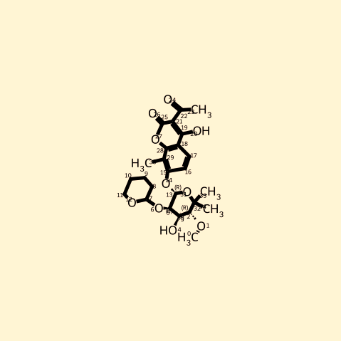 CO[C@@H]1[C@@H](O)[C@@H](OC2CCCCO2)[C@H](Oc2ccc3c(O)c(C(C)=O)c(=O)oc3c2C)OC1(C)C